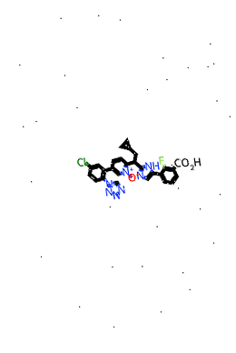 O=C(O)c1cccc(-c2cnc(C(CC3CC3)c3ccc(-c4cc(Cl)ccc4-n4cnnn4)c[n+]3[O-])[nH]2)c1F